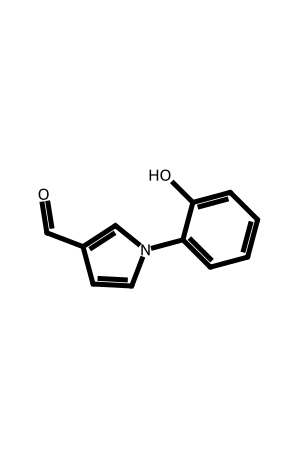 O=Cc1ccn(-c2ccccc2O)c1